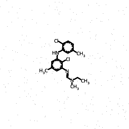 CCN(C)C=Nc1cc(C)cc(Nc2cc(C)ccc2Cl)c1Cl